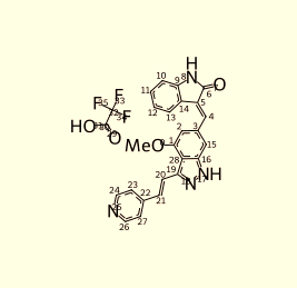 COc1cc(/C=C2/C(=O)Nc3ccccc32)cc2[nH]nc(/C=C/c3ccncc3)c12.O=C(O)C(F)(F)F